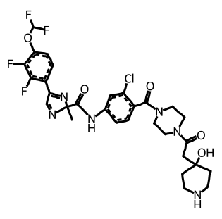 CC1(C(=O)Nc2ccc(C(=O)N3CCN(C(=O)CC4(O)CCNCC4)CC3)c(Cl)c2)N=CC(c2ccc(OC(F)F)c(F)c2F)=N1